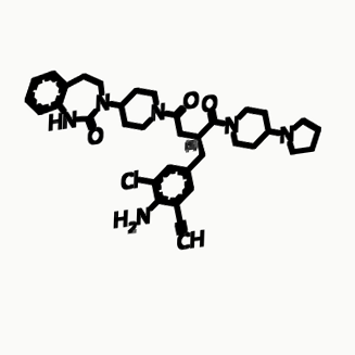 C#Cc1cc(C[C@@H](CC(=O)N2CCC(N3CCc4ccccc4NC3=O)CC2)C(=O)N2CCC(N3CCCC3)CC2)cc(Cl)c1N